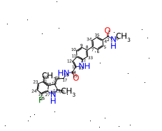 CNC(=O)c1ccc(-c2ccc3cc(C(=O)NCCC4c5c(C)ccc(F)c5NC4C)[nH]c3c2)cc1